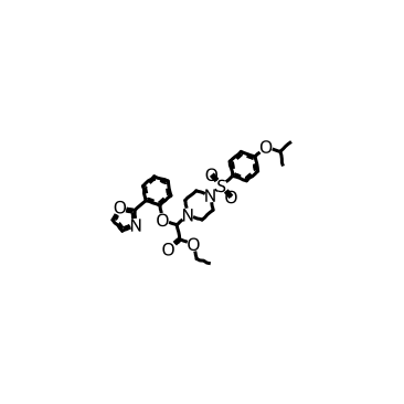 CCOC(=O)C(Oc1ccccc1-c1ncco1)N1CCN(S(=O)(=O)c2ccc(OC(C)C)cc2)CC1